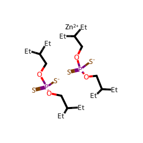 CCC(CC)COP(=S)([S-])OCC(CC)CC.CCC(CC)COP(=S)([S-])OCC(CC)CC.[Zn+2]